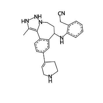 CC1=C2c3ccc(C4=CCNCC4)cc3C(Nc3ccccc3CC#N)CCN2NN1